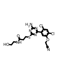 N#CCOc1cc(-c2nc(N)nc(SCCC(=O)NCCO)n2)c(Cl)cc1Cl